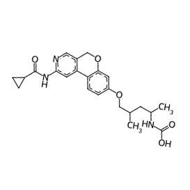 CC(COc1ccc2c(c1)OCc1cnc(NC(=O)C3CC3)cc1-2)CC(C)NC(=O)O